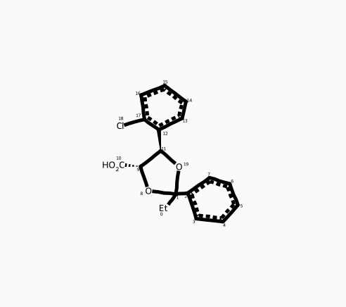 CCC1(c2ccccc2)O[C@H](C(=O)O)[C@@H](c2ccccc2Cl)O1